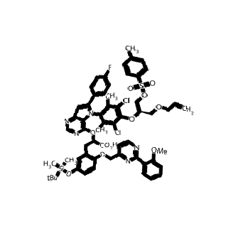 C=CCOC[C@H](COS(=O)(=O)c1ccc(C)cc1)Oc1c(Cl)c(C)c(-n2c(-c3ccc(F)cc3)cc3ncnc(OC(Cc4cc(O[Si](C)(C)C(C)(C)C)ccc4OCc4ccnc(-c5ccccc5OC)n4)C(=O)O)c32)c(C)c1Cl